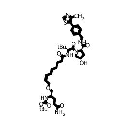 Cc1ncsc1-c1ccc(CNC(=O)[C@H]2C[C@H](O)CN2C(=O)[C@H](NC(=O)CCCCC/C=C\COC[C@@H](CCC(N)=O)NC(=O)OC(C)(C)C)C(C)(C)C)cc1